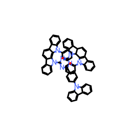 C1=CC(n2c3ccccc3c3ccc4c5ccccc5n(-c5nc(-c6ccc(-n7c8ccccc8c8ccccc87)cc6)nc(N6c7ccccc7C7C=Cc8c(n(-c9ccccc9)c9ccccc89)C76)n5)c4c32)=CCC1